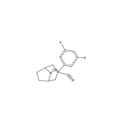 CN1C2CCC1CC(C#N)(c1cc(F)cc(F)c1)C2